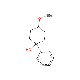 CC(C)(C)OC1CCC(O)(c2ccccc2)CC1